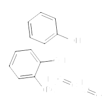 C=O.C=O.CC(C)(C)c1ccccc1O.Oc1ccccc1